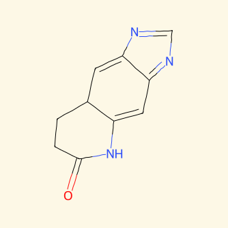 O=C1CCC2C=C3N=CN=C3C=C2N1